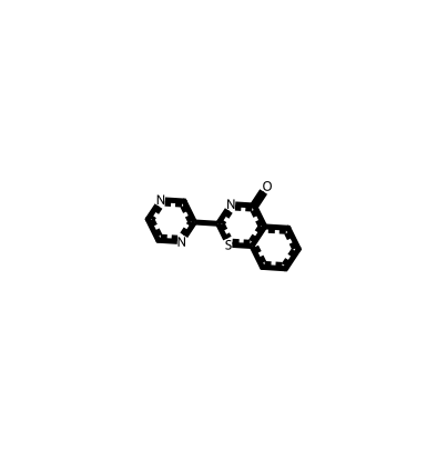 O=c1nc(-c2cnccn2)sc2ccccc12